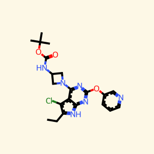 CCc1[nH]c2nc(Oc3cccnc3)nc(N3CC(NC(=O)OC(C)(C)C)C3)c2c1Cl